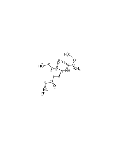 CO[C@@H](C)C(=O)N[C@@H](CCC(=O)C=[N+]=[N-])C(=O)OCO